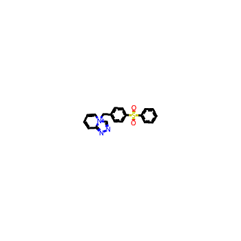 O=S(=O)(c1ccccc1)c1ccc(C[N+]23C=CC=CC2=NN=C3)cc1